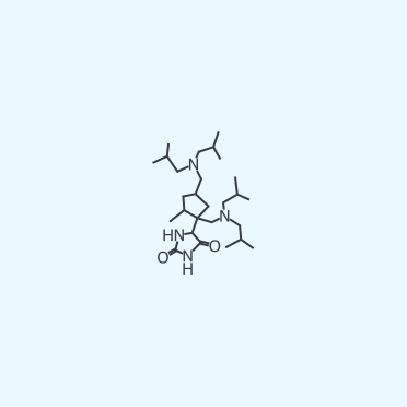 CC(C)CN(CC(C)C)CC1CC(C)C(CN(CC(C)C)CC(C)C)(C2NC(=O)NC2=O)C1